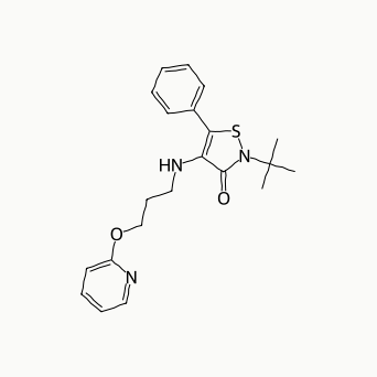 CC(C)(C)n1sc(-c2ccccc2)c(NCCCOc2ccccn2)c1=O